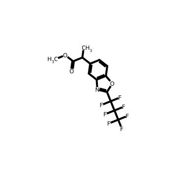 COC(=O)C(C)c1ccc2oc(C(F)(F)C(F)(F)C(F)(F)F)nc2c1